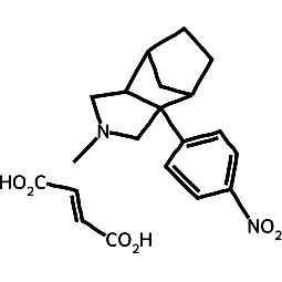 CN1CC2C3CCC(C3)C2(c2ccc([N+](=O)[O-])cc2)C1.O=C(O)C=CC(=O)O